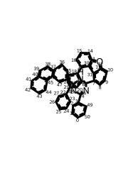 c1ccc(C2=NC(c3cccc4oc5cccc(-c6ccc(-c7ccccc7)cc6)c5c34)NC(c3ccc4ccc5ccccc5c4c3)=N2)cc1